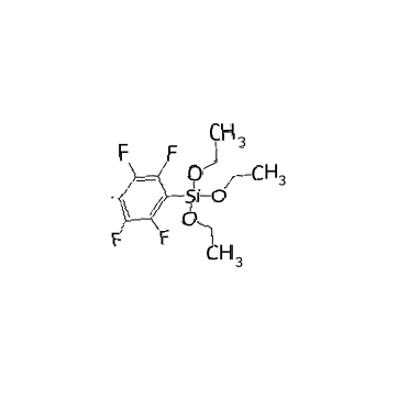 CCO[Si](OCC)(OCC)c1c(F)c(F)[c]c(F)c1F